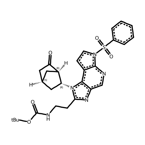 CC(C)(C)OC(=O)NCCc1nc2cnc3c(ccn3S(=O)(=O)c3ccccc3)c2n1[C@@H]1C[C@H]2CC(=O)[C@@H]1C2